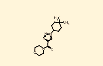 CC1(C)CCC(n2cc(C(=O)N3CCOCC3)nn2)CC1